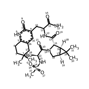 CC1(C)CCc2[nH]c(=O)c(CC(NC(=O)[C@@H]3[C@@H]4[C@H](CN3C(=O)[C@@H](NS(C)(=O)=O)C(C)(C)C)C4(C)C)C(N)=O)cc2C1